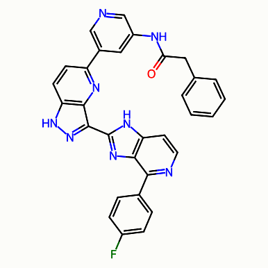 O=C(Cc1ccccc1)Nc1cncc(-c2ccc3[nH]nc(-c4nc5c(-c6ccc(F)cc6)nccc5[nH]4)c3n2)c1